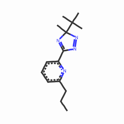 CCCc1cccc(C2=NC(C)(C(C)(C)C)N=N2)n1